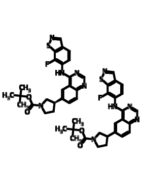 CC(C)(C)OC(=O)N1CCC(c2ccc3ncnc(Nc4ccc5cnsc5c4F)c3c2)C1.CC(C)(C)OC(=O)N1CC[C@H](c2ccc3ncnc(Nc4ccc5cnsc5c4F)c3c2)C1